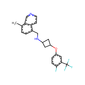 Cc1ccc(CNC2CC(Oc3ccc(F)c(C(F)(F)F)c3)C2)c2ccncc12